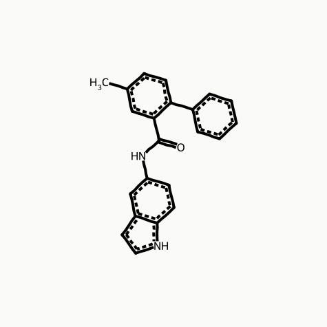 Cc1ccc(-c2ccccc2)c(C(=O)Nc2ccc3[nH]ccc3c2)c1